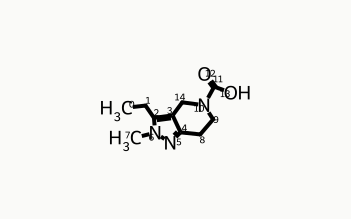 CCc1c2c(nn1C)CCN(C(=O)O)C2